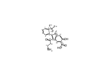 Cn1c(-c2ccccc2C(F)(F)F)c(C(=O)CCN)c2cc(C(=O)O)c(O)cc21